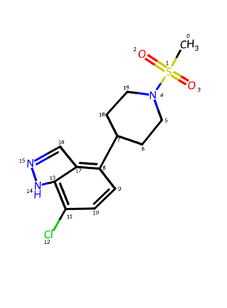 CS(=O)(=O)N1CCC(c2ccc(Cl)c3[nH]ncc23)CC1